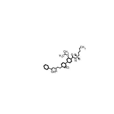 CCCCCS(=O)(=O)NC(=O)c1ccc(-c2ccc(CCNC[C@H](O)c3ccccc3)cc2)cc1OC(C)C.Cl